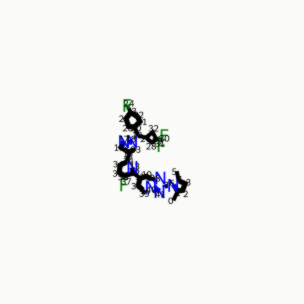 Cc1ccc(C)n1-c1nc2cc(-c3nc(-c4cnn(C(c5ccc(F)cc5)C5CC(F)(F)C5)c4)ccc3F)ccn2n1